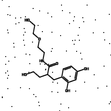 O=C(NCCOCCO)C(CCO)Cc1ccc(O)cc1O